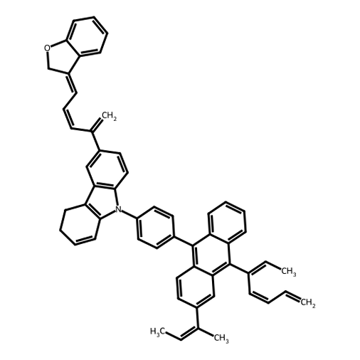 C=C/C=C\C(=C/C)c1c2ccccc2c(-c2ccc(-n3c4c(c5cc(C(=C)/C=C\C=C6/COc7ccccc76)ccc53)CCC=C4)cc2)c2ccc(/C(C)=C\C)cc12